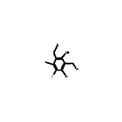 Cc1c(Br)c(CBr)c(O)c(CBr)c1Br